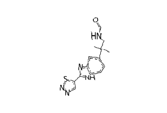 CC(C)(CNC=O)c1ccc2[nH]c(-c3cnns3)nc2c1